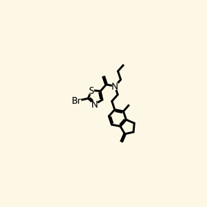 C=C1CCc2c1ccc(CCN(CCC)C(=C)c1cnc(Br)s1)c2C